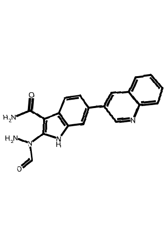 NC(=O)c1c(N(N)C=O)[nH]c2cc(-c3cnc4ccccc4c3)ccc12